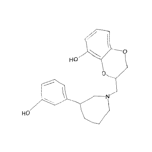 Oc1cccc(C2CCCN(CC3COc4cccc(O)c4O3)C2)c1